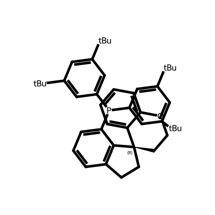 CC(C)(C)c1cc(P(c2cc(C(C)(C)C)cc(C(C)(C)C)c2)c2cccc3c2[C@@]2(CCOc4ccccc42)CC3)cc(C(C)(C)C)c1